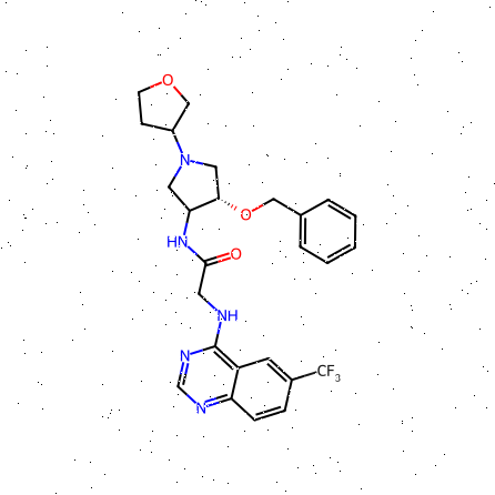 O=C(CNc1ncnc2ccc(C(F)(F)F)cc12)NC1CN(C2CCOC2)C[C@@H]1OCc1ccccc1